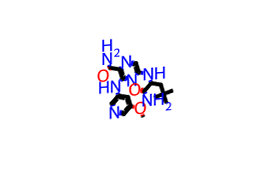 COc1cncc(Nc2nc(NC(CC(C)(C)C)C(N)=O)cnc2C(N)=O)c1